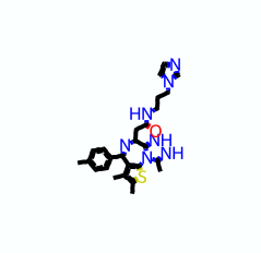 CC(=N)N1C(=N)C(CC(=O)NCCCn2ccnc2)N=C(c2ccc(C)cc2)c2c1sc(C)c2C